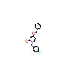 O=c1cc(OCc2ccccc2)ccn1Cc1ccc(F)cc1